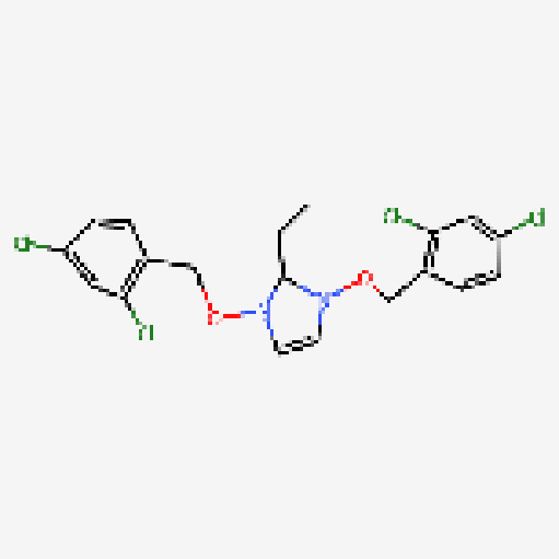 CCC1N(OCc2ccc(Cl)cc2Cl)C=CN1OCc1ccc(Cl)cc1Cl